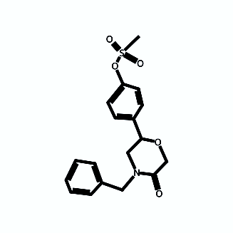 CS(=O)(=O)Oc1ccc(C2CN(Cc3ccccc3)C(=O)CO2)cc1